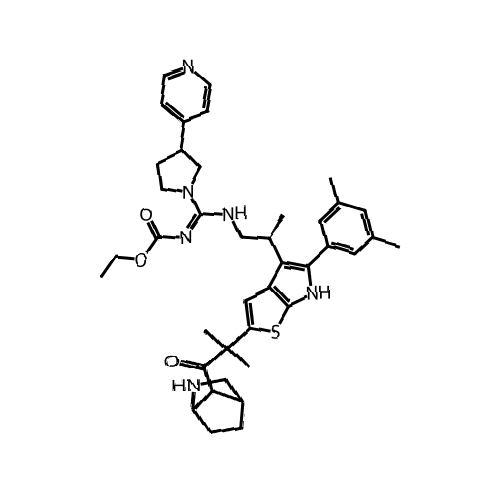 CCOC(=O)N=C(NC[C@@H](C)c1c(-c2cc(C)cc(C)c2)[nH]c2sc(C(C)(C)C(=O)C3C4CCC3NC4)cc12)N1CCC(c2ccncc2)C1